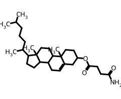 CC(C)CCCC(C)C1CCC2C3CC=C4CC(OC(=O)CCC(N)=O)CCC4(C)C3CCC12C